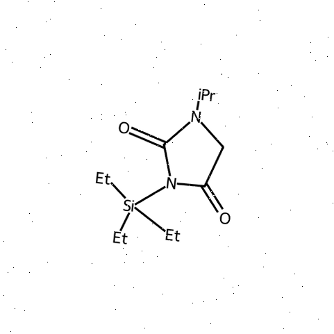 CC[Si](CC)(CC)N1C(=O)CN(C(C)C)C1=O